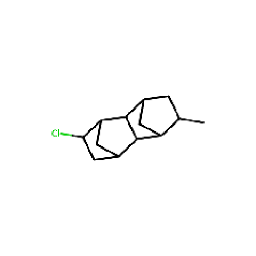 CC1CC2CC1C1C3CC(Cl)C(C3)C21